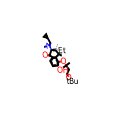 CC[C@@]1(C)c2c(ccc(O)c2OC(C)(C)CCOC(C)(C)C)C(=O)C(N(C)CC2CC2)[C@@H]1C